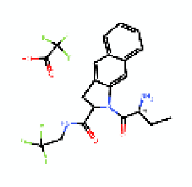 CC[C@H](N)C(=O)N1c2cc3ccccc3cc2CC1C(=O)NCC(F)(F)F.O=C(O)C(F)(F)F